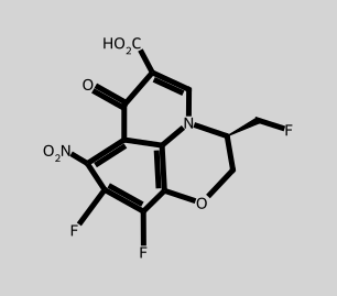 O=C(O)c1cn2c3c(c(F)c(F)c([N+](=O)[O-])c3c1=O)OC[C@@H]2CF